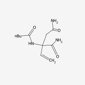 C=CC(CC(N)=O)(NC(=O)CCCC)C(N)=O